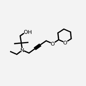 CCN(CC#CCOC1CCCCO1)C(C)(C)CO